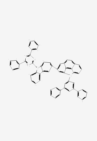 c1ccc(-c2cc(-c3ccccc3)cc(-n3c4cccc5ccc6cc(-c7ccc8c(c7)c7ccccc7n8-c7nc(-c8ccccc8)nc(-c8ccccc8)n7)cc3c6c54)c2)cc1